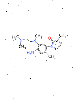 Cc1cc(N)c(N(C)CCN(C)C)cc1-n1cccc(C)c1=O